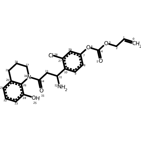 C=CCOC(=O)Oc1ccc(C(N)CC(=O)N2CCCc3cccc(O)c32)c(Cl)c1